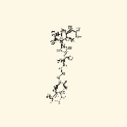 O=C(NCCCCc1ccc2c(n1)NCCC2)C1CN([C@@H](C(=O)O)c2ccccc2)C1